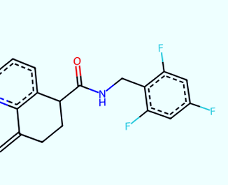 C=C1CCC(C(=O)NCc2c(F)cc(F)cc2F)c2cccnc21